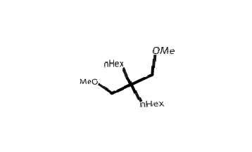 CCCCCCC(CCCCCC)(COC)COC